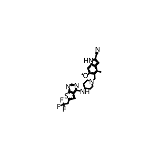 COc1cc2[nH]c(C#N)cc2c(C)c1CN1CCC(Nc2ncnc3sc(CC(F)(F)F)cc23)CC1